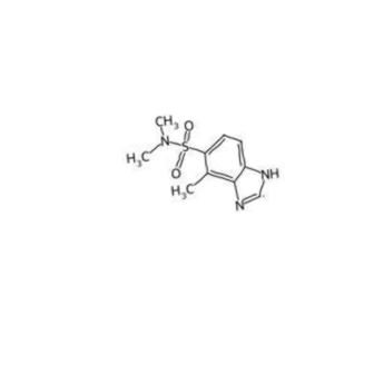 Cc1c(S(=O)(=O)N(C)C)ccc2[nH][c]nc12